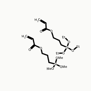 C=CC(=O)OCCC[Si](OC)(OC)OC.C=CC(=O)OCCC[Si](OCC)(OCC)OCC